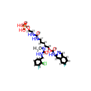 CN(C(=O)NCc1cccc(F)c1Cl)[C@@H](CCCNC(=O)NCCOP(=O)(O)O)COC(=O)Nc1cc2cc(F)ccc2cn1